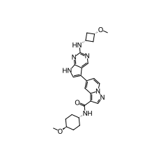 CO[C@H]1CC[C@H](NC(=O)c2cnn3ccc(-c4c[nH]c5nc(N[C@H]6C[C@@H](OC)C6)ncc45)cc23)CC1